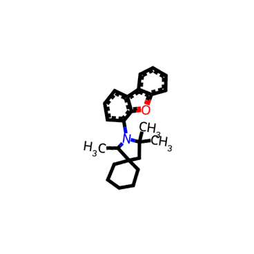 CC1N(c2cccc3c2oc2ccccc23)C(C)(C)CC12CCCCC2